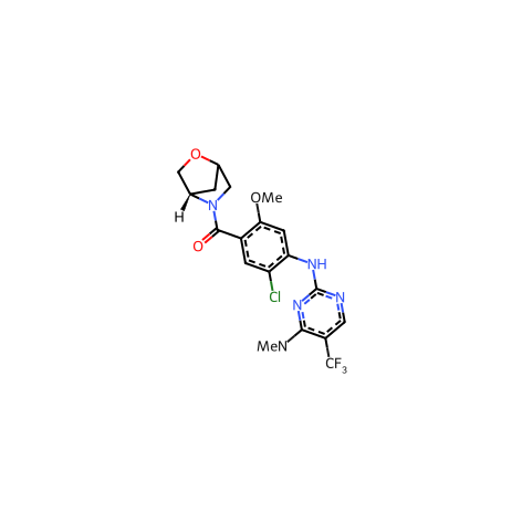 CNc1nc(Nc2cc(OC)c(C(=O)N3CC4C[C@H]3CO4)cc2Cl)ncc1C(F)(F)F